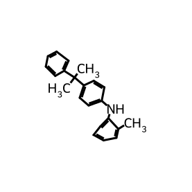 Cc1ccccc1Nc1ccc(C(C)(C)c2ccccc2)cc1